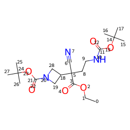 CCOC(=O)C(C#N)(CCNC(=O)OC(C)(C)C)C1CN(C(=O)OC(C)(C)C)C1